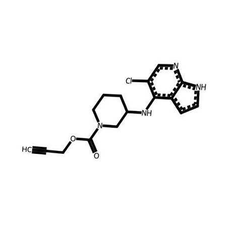 C#CCOC(=O)N1CCCC(Nc2c(Cl)cnc3[nH]ccc23)C1